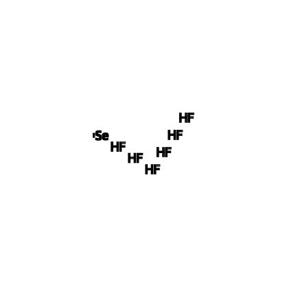 F.F.F.F.F.F.[Se]